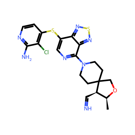 C[C@@H]1OCC2(CCN(c3ncc(Sc4ccnc(N)c4Cl)c4nsnc34)CC2)[C@@H]1C=N